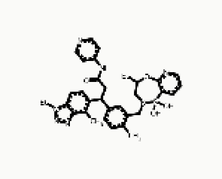 CCC1CN(Cc2cc(C(CC(=O)Nc3ccncc3)c3ccc4c(nnn4CC)c3C)ccc2C)S(O)(O)c2cccnc2O1